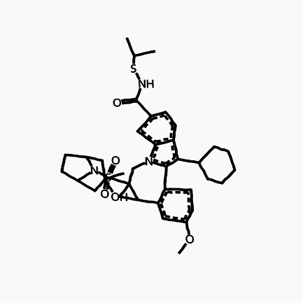 COc1ccc2c(c1)C1CC1(S(=O)(=O)N1C3CCC1CC(C)(O)C3)Cn1c-2c(C2CCCCC2)c2ccc(C(=O)NSC(C)C)cc21